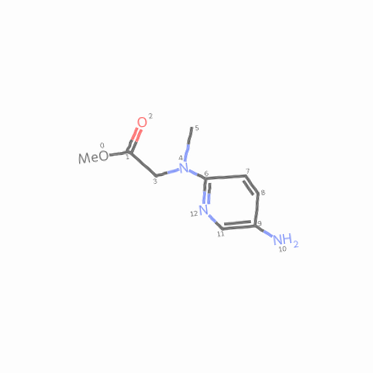 COC(=O)CN(C)c1ccc(N)cn1